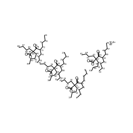 CCCCC(CCCC)C(=O)C(CCCC)(CCCC)C(=O)[O-].CCCCC(CCCC)C(=O)C(CCCC)(CCCC)C(=O)[O-].CCCCC(CCCC)C(=O)C(CCCC)(CCCC)C(=O)[O-].CCCCC(CCCC)C(=O)C(CCCC)(CCCC)C(=O)[O-].[Ti+4]